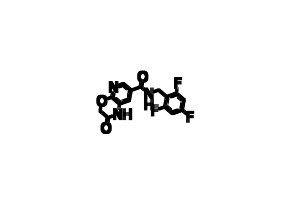 O=C1COc2ncc(C(=O)NCc3c(F)cc(F)cc3F)cc2N1